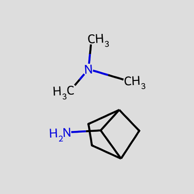 CN(C)C.NC1C2CCC1C2